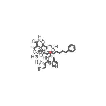 CC(C)C[C@H](N)C(=O)N[C@@H](Cc1cnc[nH]1)C(=O)N[C@@H](CO)C(=O)N[C@H](C(N)=O)[C@@H](C)OP(=O)(O)OCCCCCCCCc1ccccc1